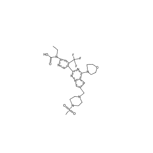 CCN(C(=O)O)c1cc(C(F)(F)F)c(-c2nc(N3CCOCC3)c3cc(CN4CCN(S(C)(=O)=O)CC4)cn3n2)cn1